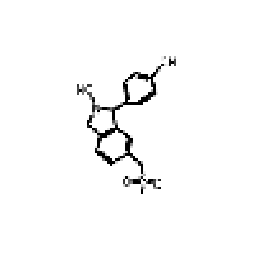 CS(=O)(=O)Cc1ccc2c(c1)C(c1ccc(C#N)cc1)N(C#N)C2